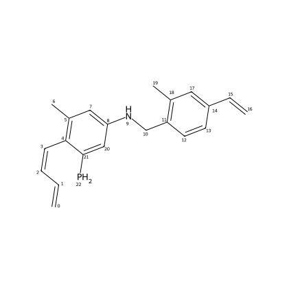 C=C/C=C\c1c(C)cc(NCc2ccc(C=C)cc2C)cc1P